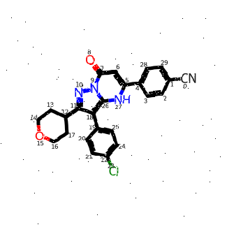 N#Cc1ccc(-c2cc(=O)n3nc(C4CCOCC4)c(-c4ccc(Cl)cc4)c3[nH]2)cc1